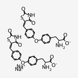 N[C@@H](Cc1ccc(Oc2ccc(C=C3SC(=O)NC3=O)cc2)cc1)C(=O)[O-].N[C@@H](Cc1ccc(Oc2ccc(C=C3SC(=O)NC3=O)cc2)cc1)C(=O)[O-].[Na+].[Na+]